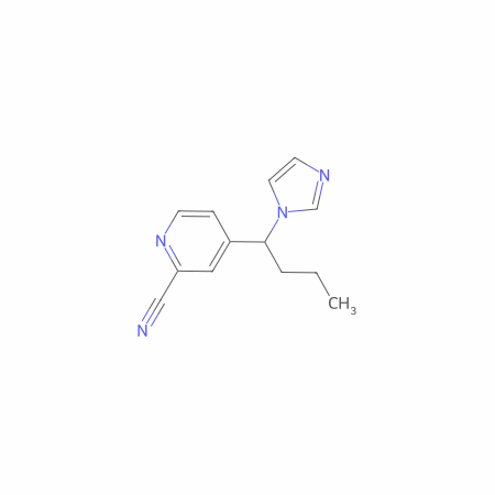 CCCC(c1ccnc(C#N)c1)n1ccnc1